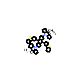 CC1(C)c2ccccc2N(c2ccc3c(-c4ccc5sc6ccccc6c5c4)c4cc(N5c6ccccc6C(C)(C)c6ccccc65)ccc4c(-c4ccc5sc6c(c5c4)C=CCC6)c3c2)c2ccccc21